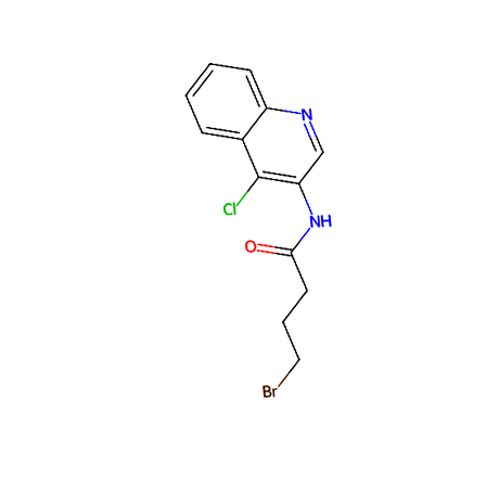 O=C(CCCBr)Nc1cnc2ccccc2c1Cl